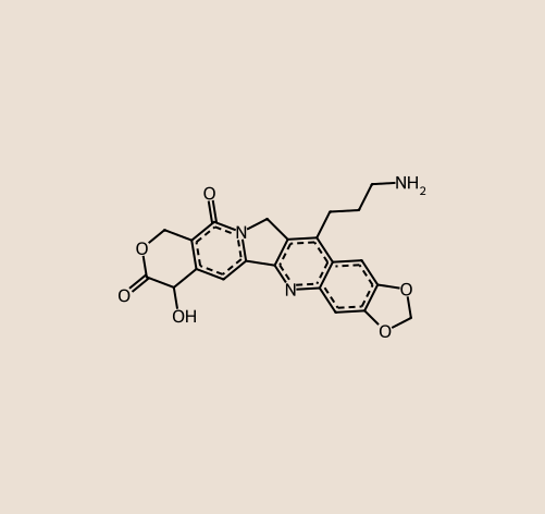 NCCCc1c2c(nc3cc4c(cc13)OCO4)-c1cc3c(c(=O)n1C2)COC(=O)C3O